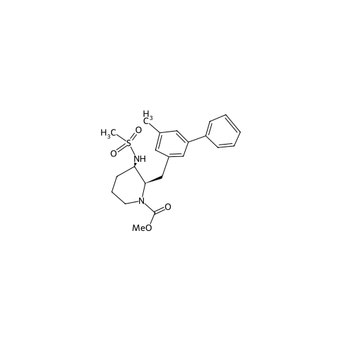 COC(=O)N1CCC[C@@H](NS(C)(=O)=O)[C@H]1Cc1cc(C)cc(-c2ccccc2)c1